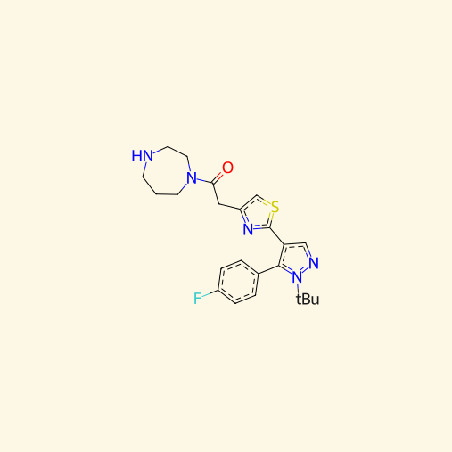 CC(C)(C)n1ncc(-c2nc(CC(=O)N3CCCNCC3)cs2)c1-c1ccc(F)cc1